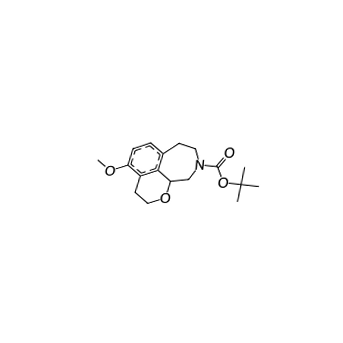 COc1ccc2c3c1CCOC3CN(C(=O)OC(C)(C)C)CC2